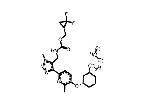 CCNCC.Cc1nc(-c2nnn(C)c2CNC(=O)OC[C@H]2CC2(F)F)ccc1O[C@H]1CCC[C@H](C(=O)O)C1